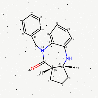 O=C1[C@H]2CCC[C@H]2Nc2ccccc2N1Cc1ccccc1